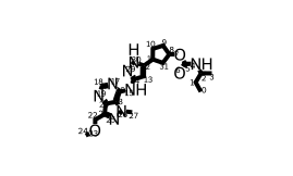 CCC(C)NC(=O)OC1CCC(c2cc(Nc3ncnc4c(COC)nn(C)c34)n[nH]2)C1